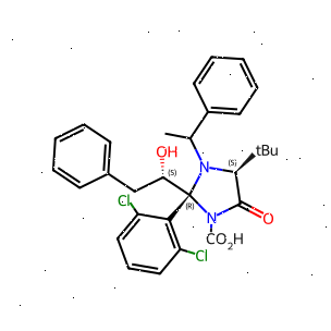 CC(c1ccccc1)N1[C@@H](C(C)(C)C)C(=O)N(C(=O)O)[C@]1(c1c(Cl)cccc1Cl)[C@@H](O)Cc1ccccc1